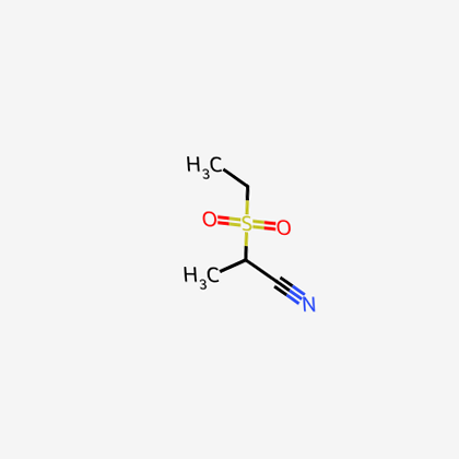 CCS(=O)(=O)C(C)C#N